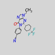 CCn1cnc2c(=O)n(-c3ccc(C#N)cc3)c([C@H]3CC[C@@H](C(F)(F)F)CC3)nc21